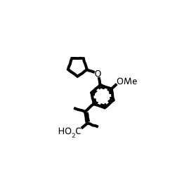 COc1ccc(C(C)=C(C)C(=O)O)cc1OC1CCCC1